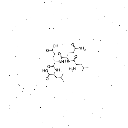 CC(C)C[C@H](NC(=O)[C@H](CCC(=O)O)NC(=O)[C@H](CCC(N)=O)NC(=O)[C@@H](N)CC(C)C)C(=O)O